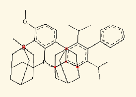 COc1ccc(-c2c(C(C)C)cc(C(C)C)c(-c3ccccc3)c2C(C)C)c(P(C23CC4CC(CC(C4)C2)C3)C23CC4CC(CC(C4)C2)C3)c1OC